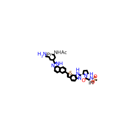 CC(=O)N[C@H](CC(CCCN)c1nc2ccc3cc(-c4cc5ccc6nc([C@@H]7CCCN7C(=O)[C@@H](NS(C)(=O)=O)C(C)C)[nH]c6c5s4)ccc3c2[nH]1)C(C)C